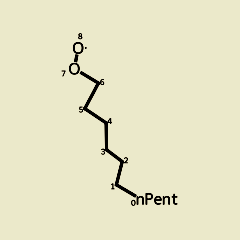 CCCCCCCCCCCO[O]